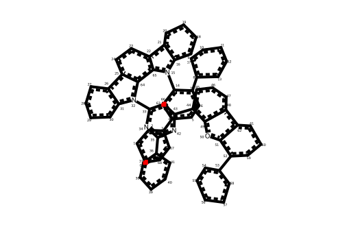 c1ccc(-c2ccc(-c3ccccc3)c(-n3c4ccccc4c4ccc5c6ccccc6n(-c6nc(-c7ccccc7)nc(-c7cccc8c7oc7c(-c9ccccc9)cccc78)n6)c5c43)c2)cc1